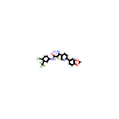 Nc1c(C(=O)Nc2ccc(Cl)c(C(F)(F)F)c2)sc2nc(-c3ccc4c(c3)OCO4)ccc12